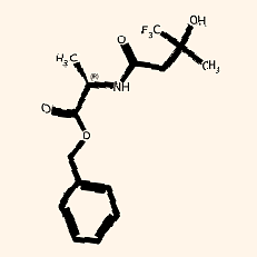 C[C@@H](NC(=O)CC(C)(O)C(F)(F)F)C(=O)OCc1ccccc1